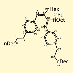 CCCCCCCCCCCCc1ccc(N=C(CCCCCC)C(CCCCCCCC)=Nc2ccc(CCCCCCCCCCCC)cc2)cc1.[Pd]